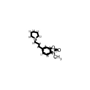 Cn1c(=O)oc2cc(CCCN3CCCCC3)ccc21